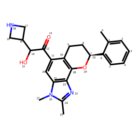 Cc1ccccc1[C@@H]1CCc2c(C(=O)C(O)C3CNC3)cc3c(nc(C)n3C)c2O1